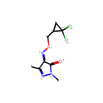 CC1=NN(C)C(=O)C1=NOCC1CC1(Cl)Cl